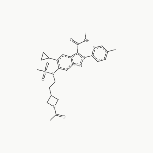 CNC(=O)c1c2cc(C3CC3)c(N(CCC3CN(C(C)=O)C3)S(C)(=O)=O)cc2nn1-c1ccc(C)cn1